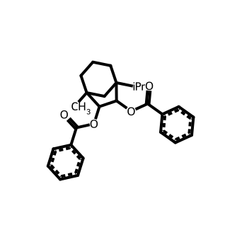 CC(C)C12CCCC(C)(C1)C(OC(=O)c1ccccc1)C2OC(=O)c1ccccc1